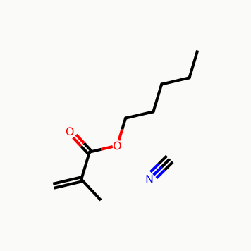 C#N.C=C(C)C(=O)OCCCCC